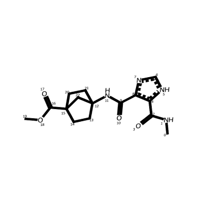 CNC(=O)c1[nH]cnc1C(=O)NC12CCC(C(=O)OC)(CC1)C2